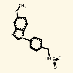 COc1ccc2c(c1)ncn2-c1ccc(CN[SH](=O)=O)cc1